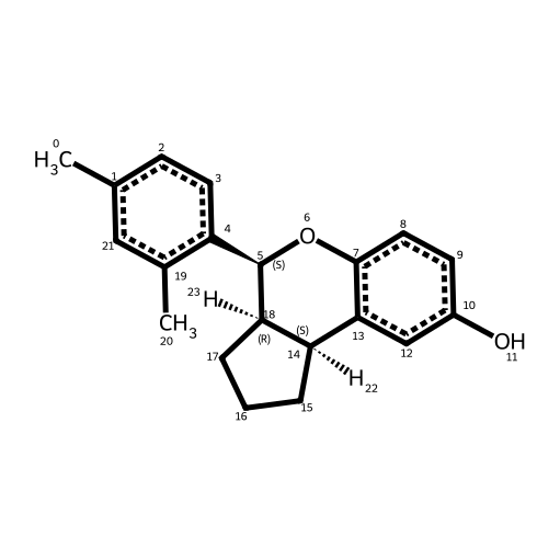 Cc1ccc([C@H]2Oc3ccc(O)cc3[C@H]3CCC[C@H]32)c(C)c1